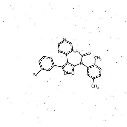 CC(=O)N(c1cc(C)ccc1C)c1onc(-c2cccc(Br)c2)c1-c1ccncn1